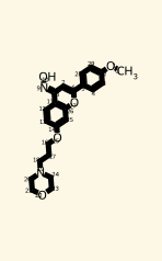 COc1ccc(-c2c/c(=N\O)c3ccc(OCCCN4CCOCC4)cc3o2)cc1